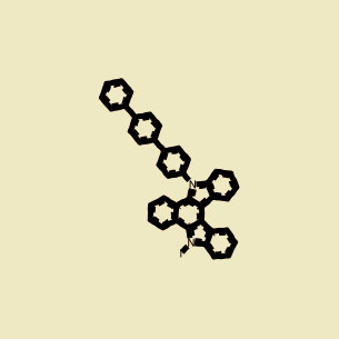 In1c2ccccc2c2c3c4ccccc4n(-c4ccc(-c5ccc(-c6ccccc6)cc5)cc4)c3c3ccccc3c21